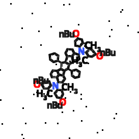 CCCCOc1ccc(N(c2ccc(OCCCC)cc2C)c2ccc3c4c(-c5ccccc5)c5c6ccc(N(c7ccc(OCCCC)cc7C)c7ccc(OCCCC)cc7C)c7cccc(c5c(-c5ccccc5)c4c4cccc2c43)c76)c(C)c1